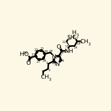 CCCCc1ncc(C(=O)N[C@@H](CS)CC(C)C)n1Cc1ccc(C(=O)O)cc1